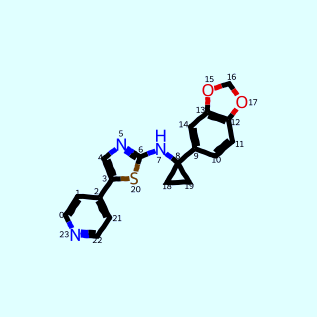 c1cc(-c2cnc(NC3(c4ccc5c(c4)OCO5)CC3)s2)ccn1